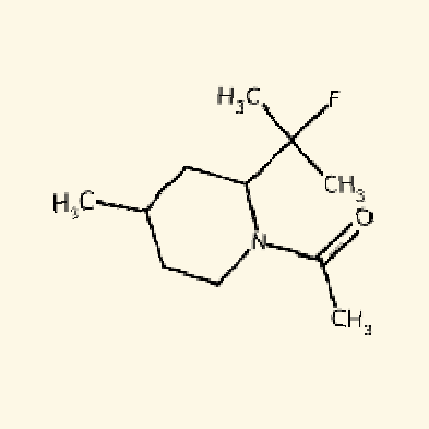 CC(=O)N1CCC(C)CC1C(C)(C)F